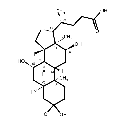 C[C@H](CCC(=O)O)[C@H]1CC[C@H]2[C@@H]3[C@@H](O)C[C@@H]4CC(O)(O)CC[C@]4(C)[C@H]3C[C@H](O)[C@]12C